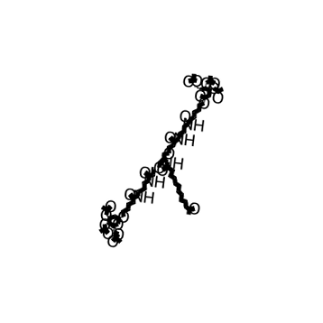 CC(=O)CCCCCCCCCCC(=O)NC(COCCC(=O)NCCCNC(=O)CCCCO[C@H]1C[C@@H](OC(C)=O)[C@@H](OC(C)=O)[C@@H](COC(C)=O)O1)COCCC(=O)NCCCNC(=O)CCCCO[C@H]1C[C@@H](OC(C)=O)[C@@H](OC(C)=O)[C@@H](COC(C)=O)O1